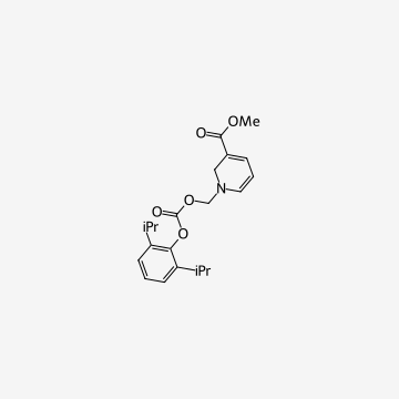 COC(=O)C1=CC=CN(COC(=O)Oc2c(C(C)C)cccc2C(C)C)C1